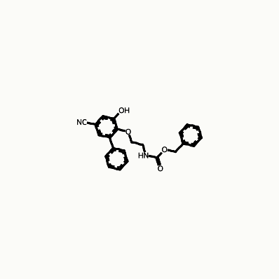 N#Cc1cc(O)c(OCCNC(=O)OCc2ccccc2)c(-c2ccccc2)c1